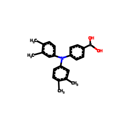 Cc1ccc(N(c2ccc(B(O)O)cc2)c2ccc(C)c(C)c2)cc1C